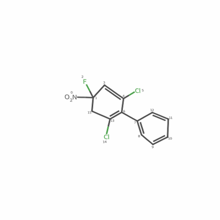 O=[N+]([O-])C1(F)C=C(Cl)C(c2ccccc2)=C(Cl)C1